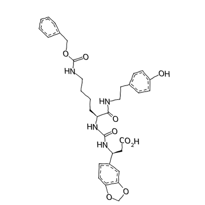 O=C(O)C[C@H](NC(=O)N[C@@H](CCCCNC(=O)OCc1ccccc1)C(=O)NCCc1ccc(O)cc1)c1ccc2c(c1)OCO2